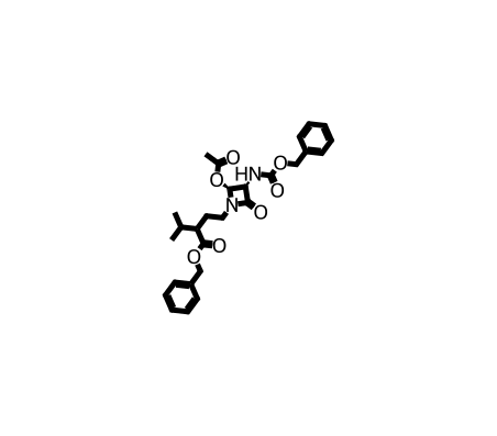 CC(=O)O[C@H]1[C@H](NC(=O)OCc2ccccc2)C(=O)N1CCC(C(=O)OCc1ccccc1)C(C)C